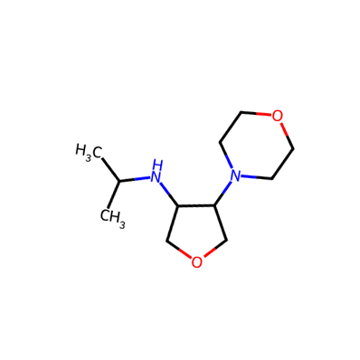 CC(C)NC1COCC1N1CCOCC1